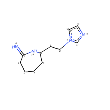 N=C1CCCCC(CCn2ccnc2)N1